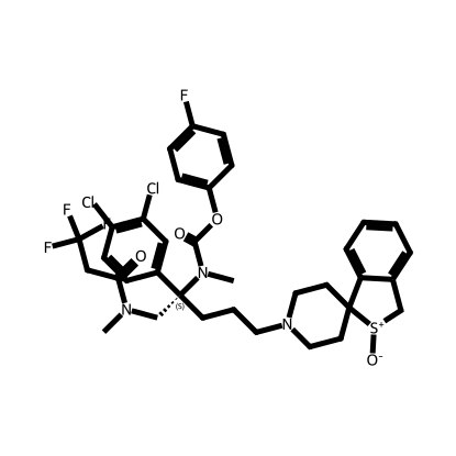 CN(C[C@](CCCN1CCC2(CC1)c1ccccc1C[S+]2[O-])(c1ccc(Cl)c(Cl)c1)N(C)C(=O)Oc1ccc(F)cc1)C(=O)CC(F)(F)F